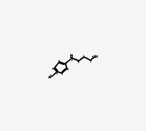 SCCCNc1ccc(Br)cc1